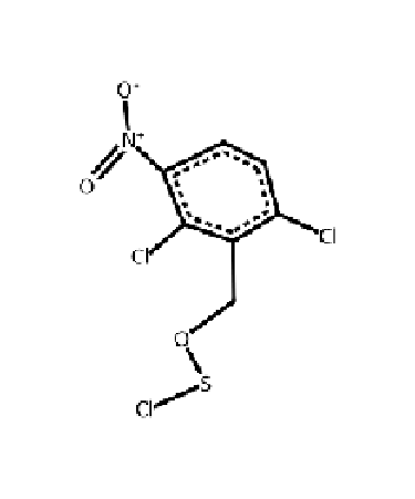 O=[N+]([O-])c1ccc(Cl)c(COSCl)c1Cl